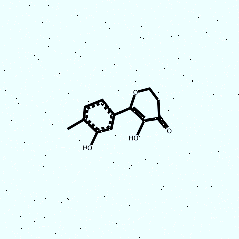 Cc1ccc(C2=C(O)C(=O)CCO2)cc1O